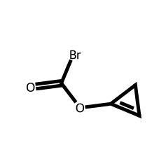 O=C(Br)OC1=CC1